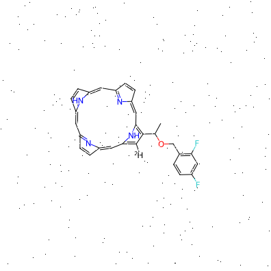 [2H]c1c(C(C)OCc2ccc(F)cc2F)c2cc3nc(cc4ccc(cc5nc(cc1[nH]2)C=C5)[nH]4)C=C3